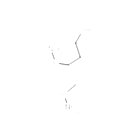 O=[N+]([O-])OC[C@@H](CCO)O[N+](=O)[O-]